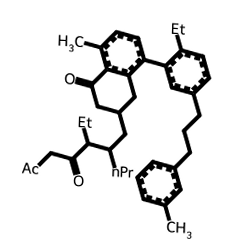 CCCC(CC1CC(=O)c2c(C)ccc(-c3cc(CCCc4cccc(C)c4)ccc3CC)c2C1)C(CC)C(=O)CC(C)=O